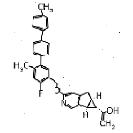 C=C(O)[C@H]1[C@@H]2Cc3cc(OCc4cc(-c5ccc(-c6ccc(C)cc6)cc5)c(C)cc4F)ncc3[C@@H]21